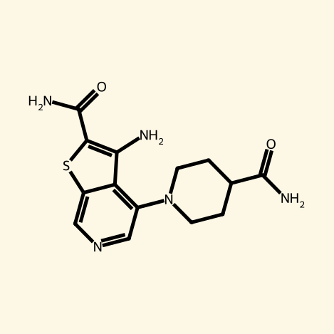 NC(=O)c1sc2cncc(N3CCC(C(N)=O)CC3)c2c1N